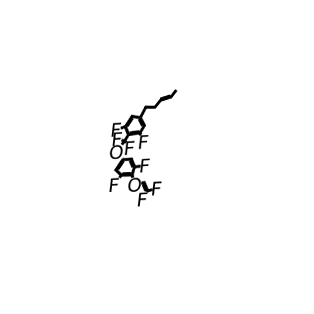 C/C=C/CCc1cc(F)c(C(F)(F)Oc2cc(F)c(OC=C(F)F)c(F)c2)c(F)c1